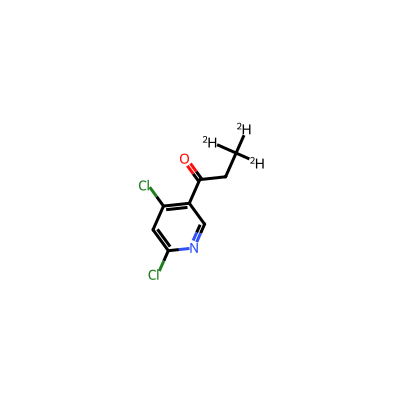 [2H]C([2H])([2H])CC(=O)c1cnc(Cl)cc1Cl